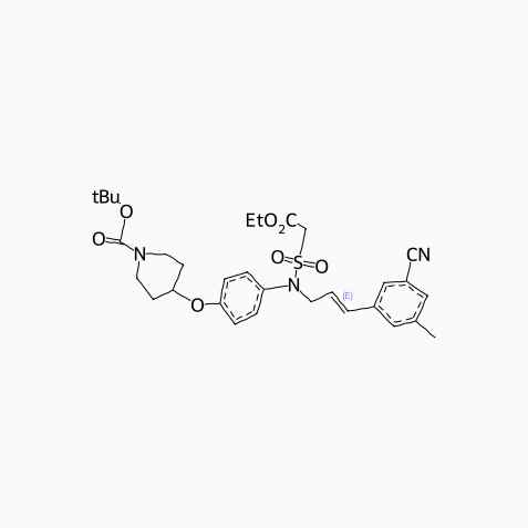 CCOC(=O)CS(=O)(=O)N(C/C=C/c1cc(C)cc(C#N)c1)c1ccc(OC2CCN(C(=O)OC(C)(C)C)CC2)cc1